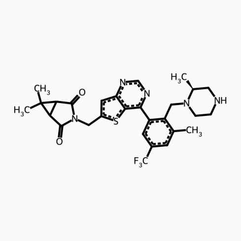 Cc1cc(C(F)(F)F)cc(-c2ncnc3cc(CN4C(=O)C5C(C4=O)C5(C)C)sc23)c1CN1CCNC[C@@H]1C